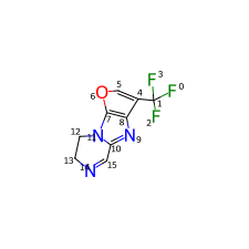 FC(F)(F)c1coc2c1nc1n2CCN=C1